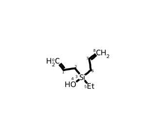 C=CC[Si](O)(CC)CC=C